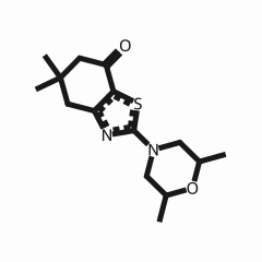 CC1CN(c2nc3c(s2)C(=O)CC(C)(C)C3)CC(C)O1